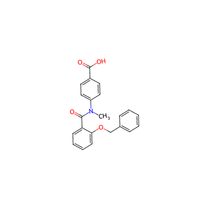 CN(C(=O)c1ccccc1OCc1ccccc1)c1ccc(C(=O)O)cc1